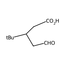 CC(C)(C)C(CC=O)CC(=O)O